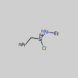 CCCC[SiH](Cl)NCC